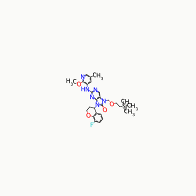 COc1ncc(C)cc1Nc1ncc2c(n1)n(C1CCOc3c(F)cccc31)c(=O)n2COCC[Si](C)(C)C